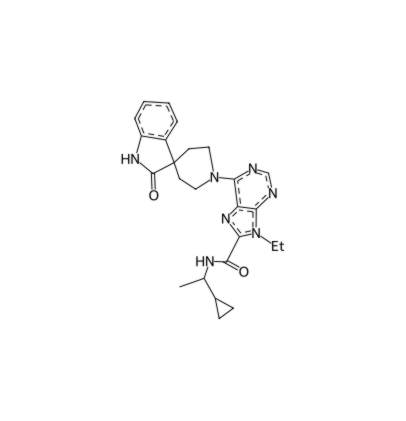 CCn1c(C(=O)NC(C)C2CC2)nc2c(N3CCC4(CC3)C(=O)Nc3ccccc34)ncnc21